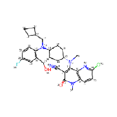 Cn1c(=O)c(C#N)c(N(C)[C@H]2CC[C@H](N(CC3CCC3)c3ccc(F)cc3CO)CC2)c2nc(Cl)ccc21